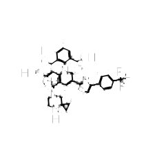 CCc1cccc(CC)c1-n1c(C=C(C)C)c(C(=O)N2CCNC3(CC3)C2)cc(-c2nc(-c3ccc(C(F)(F)F)cc3)cs2)c1=O